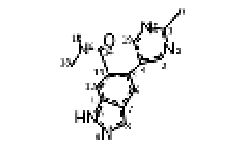 Cc1ncc(-c2cc3cn[nH]c3cc2C(=O)N(C)C)cn1